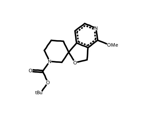 COc1nccc2c1COC21CCCN(C(=O)OC(C)(C)C)C1